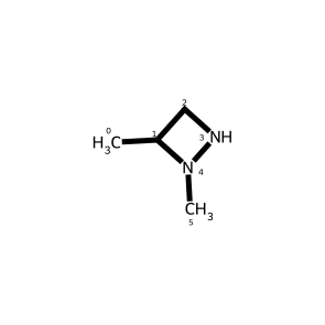 CC1CNN1C